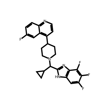 Fc1ccc2nccc(C3CCN(C(c4nc5c(F)c(F)c(F)cc5[nH]4)C4CC4)CC3)c2c1